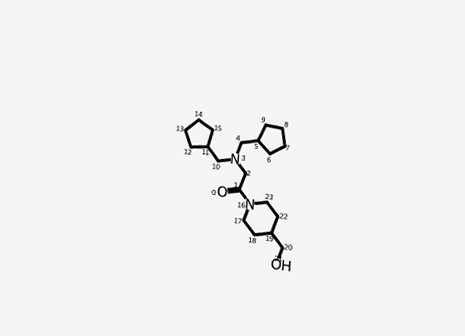 O=C(CN(CC1CCCC1)CC1CCCC1)N1CCC(CO)CC1